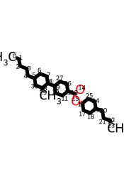 CCCCCC1CCC(C2CCC(C(=O)OC3CCC(CCCC)CC3)CC2)C(C)C1